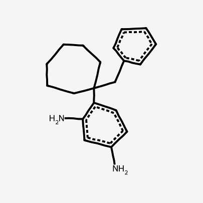 Nc1ccc(C2(Cc3ccccc3)CCCCCC2)c(N)c1